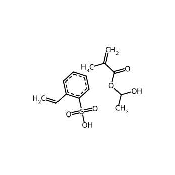 C=C(C)C(=O)OC(C)O.C=Cc1ccccc1S(=O)(=O)O